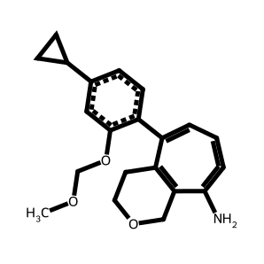 COCOc1cc(C2CC2)ccc1C1=CC=C=C(N)C2=C1CCOC2